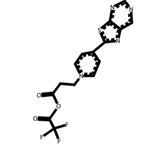 O=C(CC[n+]1ccc(-c2nc3cncnc3s2)cc1)OC(=O)C(F)(F)F